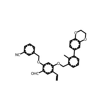 C=Cc1cc(C=O)c(OCc2cccc(C#N)c2)cc1OCc1cccc(-c2ccc3c(c2)OCCO3)c1C